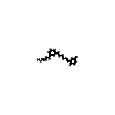 Cc1ccc(C)c(/C=C/CCCCc2cccc(CCCN)c2)c1